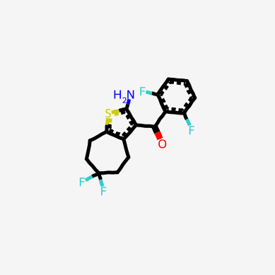 Nc1sc2c(c1C(=O)c1c(F)cccc1F)CCC(F)(F)CC2